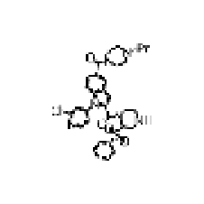 CC(C)N1CCN(C(=O)c2ccc3c(c2)cc(C(=O)N2CCNCC2S(=O)(=O)c2ccccc2)n3-c2ccnc(Cl)c2)CC1